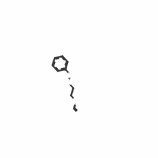 O=[C]OCCSSc1ccccc1